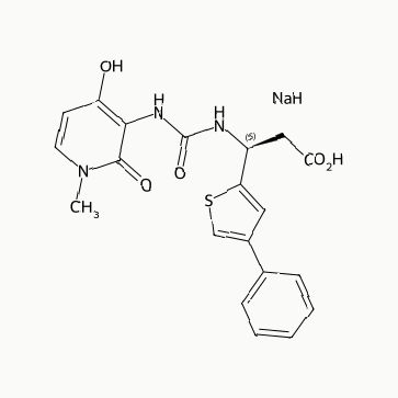 Cn1ccc(O)c(NC(=O)N[C@@H](CC(=O)O)c2cc(-c3ccccc3)cs2)c1=O.[NaH]